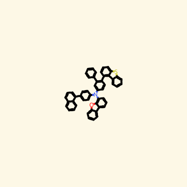 c1ccc(-c2cc(N(c3ccc(-c4cccc5ccccc45)cc3)c3cccc4c3oc3ccccc34)ccc2-c2cccc3sc4ccccc4c23)cc1